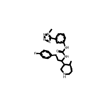 CC1CCNCC1C(CCc1ccc(F)cc1)NC(=O)Nc1cccc(-c2nnnn2C)c1